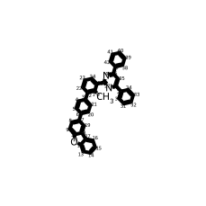 Cc1c(-c2ccc(-c3ccc4oc5ccccc5c4c3)cc2)cccc1-c1nc(-c2ccccc2)cc(-c2ccccc2)n1